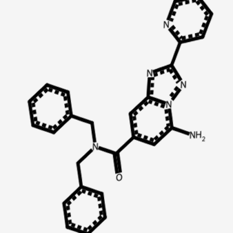 Nc1cc(C(=O)N(Cc2ccccc2)Cc2ccccc2)cc2nc(-c3ccccn3)nn12